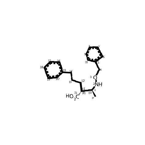 C[C@H](NOCc1ccccc1)[C@@H](CCCc1ccccc1)C(=O)O